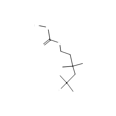 CC(C)(Br)CC(C)(C)CCNC(=O)OC(C)(C)C